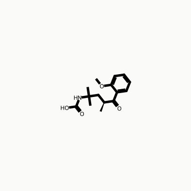 COc1ccccc1C(=O)[C@@H](C)CC(C)(C)NC(=O)O